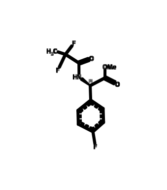 COC(=O)[C@H](NC(=O)C(C)(F)F)c1ccc(F)cc1